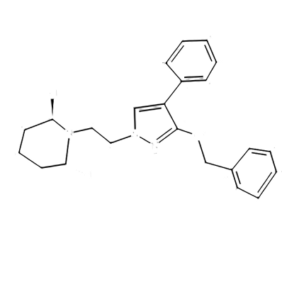 C[C@@H]1CCC[C@@H](C)N1CCn1cc(-c2ccccc2)c(OCc2ccccc2)n1